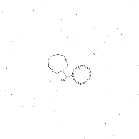 NC(c1ccccccccc1)C1CCCCCCCCC1